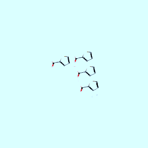 O=C([O-])c1cccs1.O=C([O-])c1cccs1.O=C([O-])c1cccs1.O=C([O-])c1cccs1.[Sn+4]